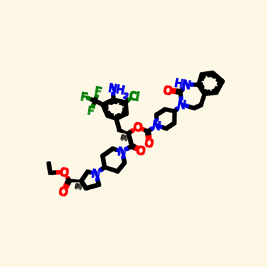 CCOC(=O)[C@@H]1CCN(C2CCN(C(=O)[C@@H](Cc3cc(Cl)c(N)c(C(F)(F)F)c3)OC(=O)N3CCC(N4CCc5ccccc5NC4=O)CC3)CC2)C1